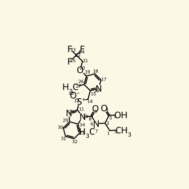 CCC(C(=O)O)N(C)C(=O)n1c([S@+]([O-])Cc2nccc(OCC(F)(F)F)c2C)nc2ccccc21